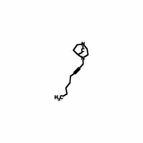 CCCCCC#CCN1CCN2CCC1CC2